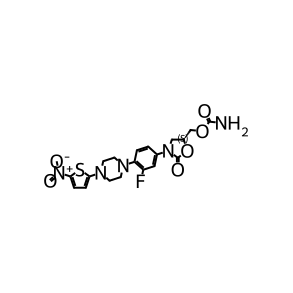 NC(=O)OC[C@@H]1CN(c2ccc(N3CCN(c4ccc([N+](=O)[O-])s4)CC3)c(F)c2)C(=O)O1